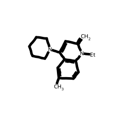 C=C1C=C(N2CCCCC2)c2cc(C)ccc2N1CC